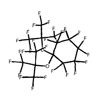 FC(F)(F)C(OC1(OC(C(F)(F)F)(C(F)(F)F)C(F)(F)F)C(F)(F)C(F)(F)C(F)(F)C(F)(F)C1(F)F)(C(F)(F)F)C(F)(F)F